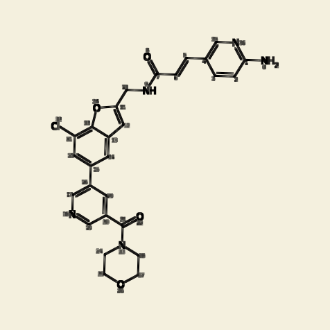 Nc1ccc(C=CC(=O)NCc2cc3cc(-c4cncc(C(=O)N5CCOCC5)c4)cc(Cl)c3o2)cn1